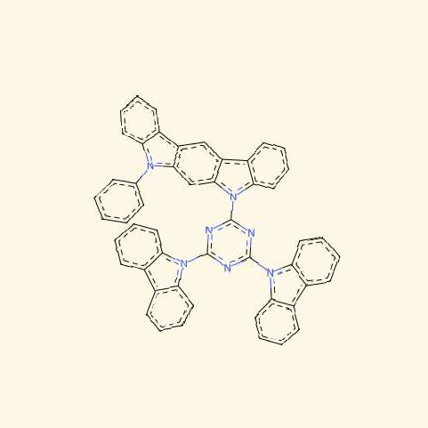 c1ccc(-n2c3ccccc3c3cc4c5ccccc5n(-c5nc(-n6c7ccccc7c7ccccc76)nc(-n6c7ccccc7c7ccccc76)n5)c4cc32)cc1